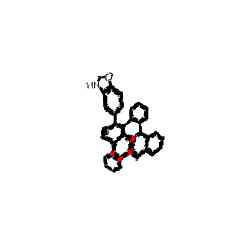 c1ccc(-c2cc3ccccc3c(-c3ccccc3-c3c(-c4ccc5c(c4)NCO5)ccc4ccccc34)n2)cc1